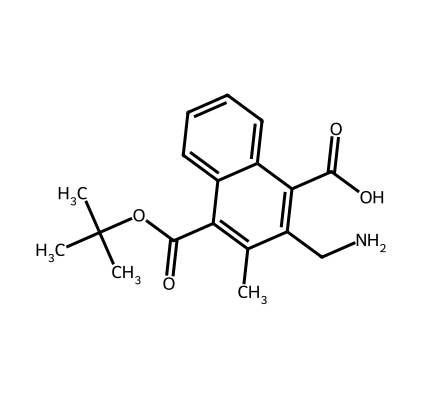 Cc1c(CN)c(C(=O)O)c2ccccc2c1C(=O)OC(C)(C)C